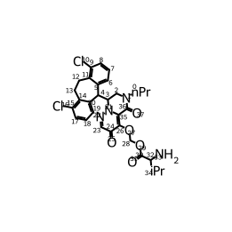 CCCN1CC(C2c3cccc(Cl)c3CCc3c(Cl)cccc32)n2ncc(=O)c(OCOC(=O)C(N)C(C)C)c2C1=O